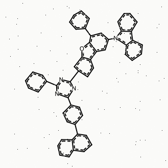 c1ccc(-c2nc(-c3ccc(-c4cccc5ccccc45)cc3)nc(-c3ccc4c(c3)oc3c(-c5ccccc5)cc(-n5c6ccccc6c6ccccc65)cc34)n2)cc1